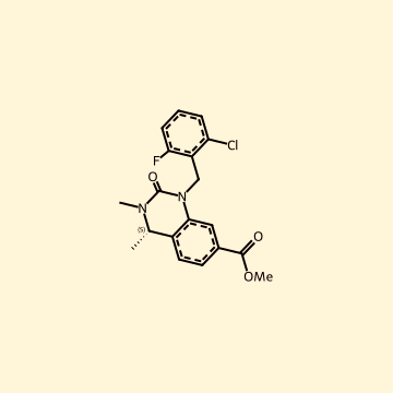 COC(=O)c1ccc2c(c1)N(Cc1c(F)cccc1Cl)C(=O)N(C)[C@H]2C